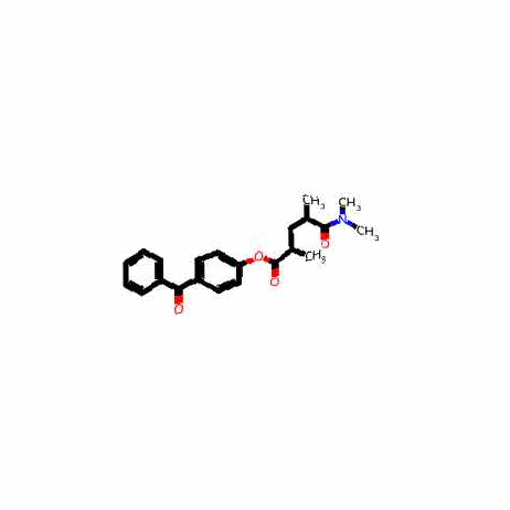 CC(CC(C)C(=O)N(C)C)C(=O)Oc1ccc(C(=O)c2ccccc2)cc1